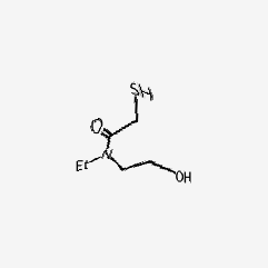 CCN(CCO)C(=O)CS